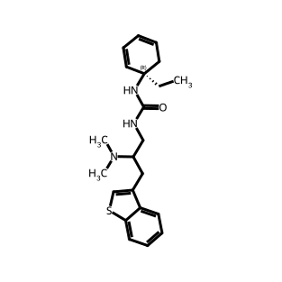 CC[C@]1(NC(=O)NCC(Cc2csc3ccccc23)N(C)C)C=CC=CC1